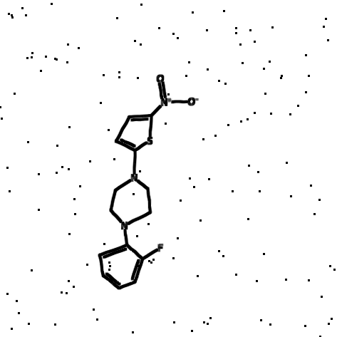 O=[N+]([O-])c1ccc(N2CCN(c3ccccc3F)CC2)s1